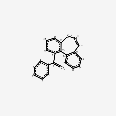 O=C(c1ccccc1)c1cccc2c1-c1ccccc1C=NS2